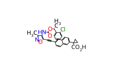 Cc1noc(C#Cc2ccc3cc(C4(C(=O)O)CC4)ccc3c2)c1NC(=O)O[C@H](C)c1ccccc1Cl